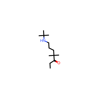 CCC(=O)C(C)(C)CCCNC(C)(C)C